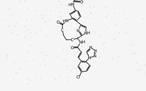 COC(=O)Nc1ccc2c(c1)NC(=O)CCCCC(NC(=O)/C=C/c1cc(Cl)ccc1-n1cnnn1)c1nc-2c[nH]1